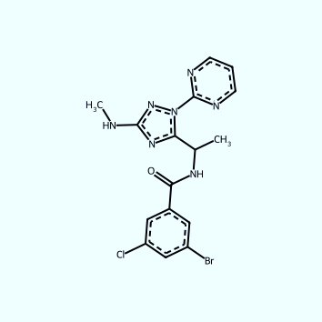 CNc1nc(C(C)NC(=O)c2cc(Cl)cc(Br)c2)n(-c2ncccn2)n1